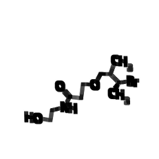 CC(COCCC(=O)NCCO)[C@H](C)Br